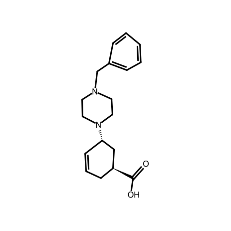 O=C(O)[C@H]1CC=C[C@H](N2CCN(Cc3ccccc3)CC2)C1